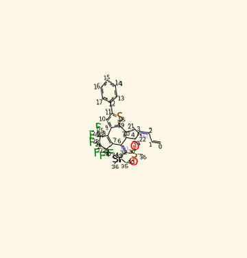 C=C/C=C\CC/C(C1=C(c2cc(-c3ccccc3)sc2CCC)C(F)(F)C(F)(F)C1(F)F)=C(/[Si](C)(C)C)S(C)(=O)=O